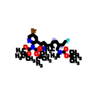 C=C(/C=C\C(=C/CF)CN(C)C(=O)OC(C)(C)C)c1cc(-c2cc(Br)cnc2N(C(=O)OC(C)(C)C)C(=O)OC(C)(C)C)on1